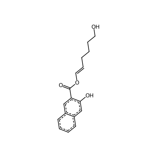 O=C(OC=CCCCCO)c1cc2ccccc2cc1O